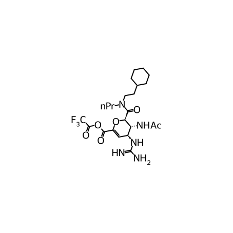 CCCN(CCC1CCCCC1)C(=O)[C@@H]1OC(C(=O)OC(=O)C(F)(F)F)=C[C@H](NC(=N)N)[C@H]1NC(C)=O